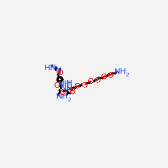 CNCCN(C)OCc1ccc(NC(=O)[C@H](CCCN)NC(=O)[C@@H](NC(=O)CCOCCOCCOCCOCCOCCOCCN)C(C)C)cc1